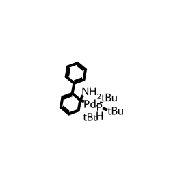 CC(C)(C)[PH]([Pd][C]1(N)CC=CC=C1c1ccccc1)(C(C)(C)C)C(C)(C)C